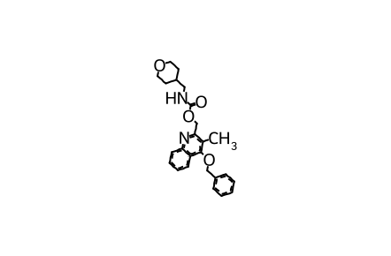 Cc1c(COC(=O)NCC2CCOCC2)nc2ccccc2c1OCc1ccccc1